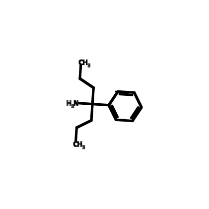 CCCC(N)(CCC)c1[c]cccc1